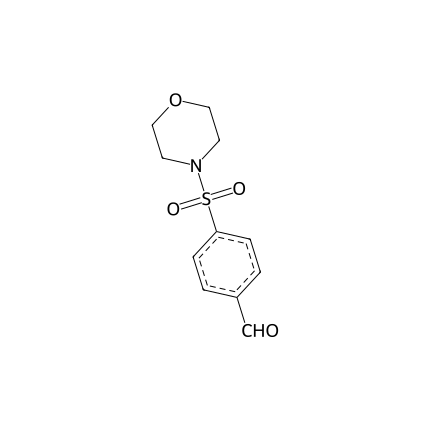 O=Cc1ccc(S(=O)(=O)N2CCOCC2)cc1